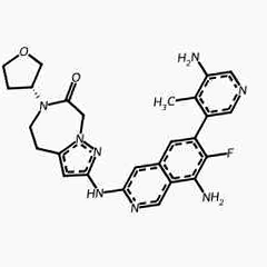 Cc1c(N)cncc1-c1cc2cc(Nc3cc4n(n3)CC(=O)N([C@@H]3CCOC3)CC4)ncc2c(N)c1F